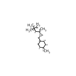 CC1CCC(COC(C)CC(C)(C)C)CC1